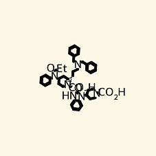 CCC(=O)N(c1ccccc1)C1CCN(C(=O)O)[C@@H](CCCN(Cc2ccccc2)Cc2ccccc2)C1.O=C(O)N1CCC(n2c(=O)[nH]c3ccccc32)CC1